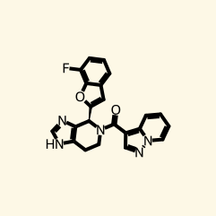 O=C(c1cnn2ccccc12)N1CCc2[nH]cnc2[C@H]1c1cc2cccc(F)c2o1